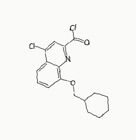 O=C(Cl)c1cc(Cl)c2cccc(OCC3CCCCC3)c2n1